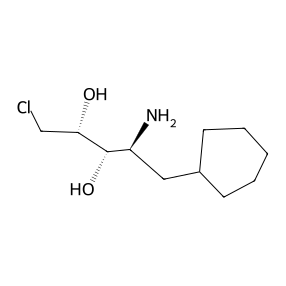 N[C@@H](CC1CCCCC1)[C@H](O)[C@@H](O)CCl